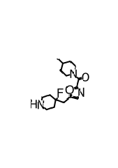 CC1CCN(C(=O)c2ncc(CC3(F)CCNCC3)o2)CC1